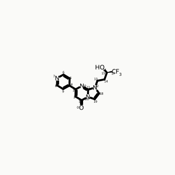 O=c1cc(-c2ccncc2)nc2n(CC[C@@H](O)C(F)(F)F)ccn12